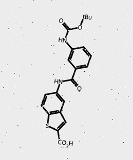 CC(C)(C)OC(=O)Nc1cccc(C(=O)Nc2ccc3sc(C(=O)O)cc3c2)c1